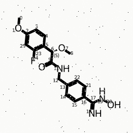 COc1ccc([C@H](OC)C(=O)NCc2ccc(C(=N)NO)cc2)c(F)c1